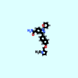 CN1CCCC1COc1ccc2cc(-c3nn(C4CCCCO4)c4ccc(C(N)=O)cc34)ccc2c1